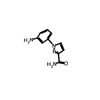 NC(=O)c1ccn(-c2cccc(N)c2)n1